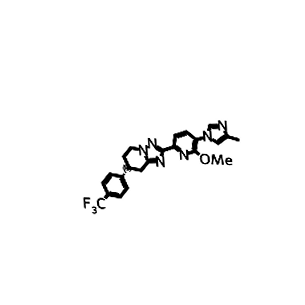 COc1nc(-c2nc3n(n2)CC[C@@H](c2ccc(C(F)(F)F)cc2)C3)ccc1-n1cnc(C)c1